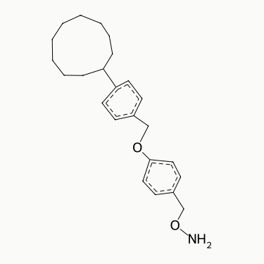 NOCc1ccc(OCc2ccc(C3CCCCCCCCC3)cc2)cc1